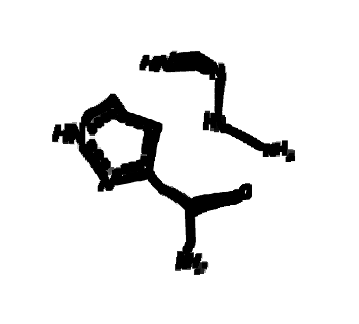 N=NNN.NC(=O)c1cc[nH]n1